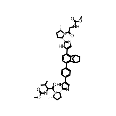 COC(=O)NCC(=O)N1[C@@H](C)CC[C@H]1c1ncc(-c2ccc(-c3ccc(-c4cnc([C@@H]5CC[C@H](C)N5C(=O)C(NC(=O)OC)C(C)C)[nH]4)cc3)c3c2C2CCC3C2)[nH]1